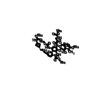 CN(C(=O)OC(C)(C)C)[C@@H]1[C@@H](O)[C@@H](O[C@H]2[C@H](NC(=O)[C@@H](O)CNC(=O)OC(C)(C)C)C[C@H](NC(=O)OC(C)(C)C)C([C@H]3OC(CNC[C@H]4C[C@H](NC(=O)OC(C)(C)C)C4)=CC[C@H]3NC(=O)OC(C)(C)C)[C@@H]2O)OC[C@]1(C)O